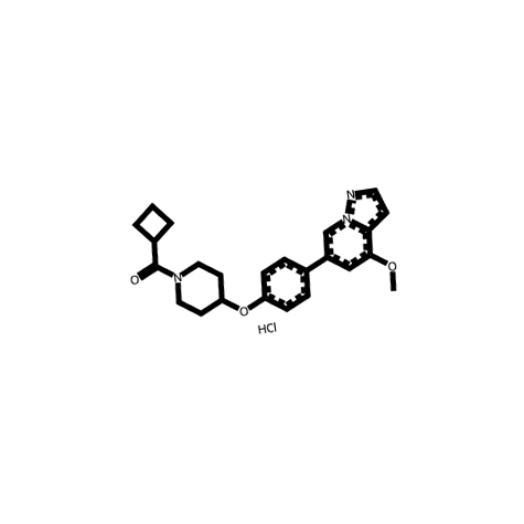 COc1cc(-c2ccc(OC3CCN(C(=O)C4CCC4)CC3)cc2)cn2nccc12.Cl